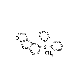 C[Si](c1ccccc1)(c1ccccc1)c1ccc2sc3occc3c2c1